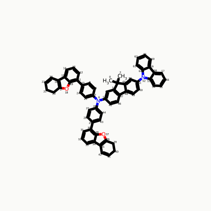 CC1(C)c2cc(N(c3ccc(-c4cccc5c6c(oc45)CCC=C6)cc3)c3ccc(-c4cccc5c6c(oc45)CCC=C6)cc3)ccc2-c2ccc(-n3c4ccccc4c4ccccc43)cc21